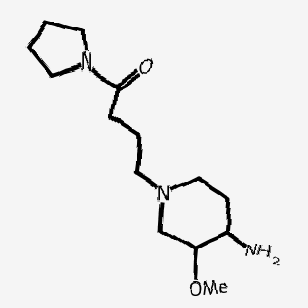 COC1CN(CCCC(=O)N2CCCC2)CCC1N